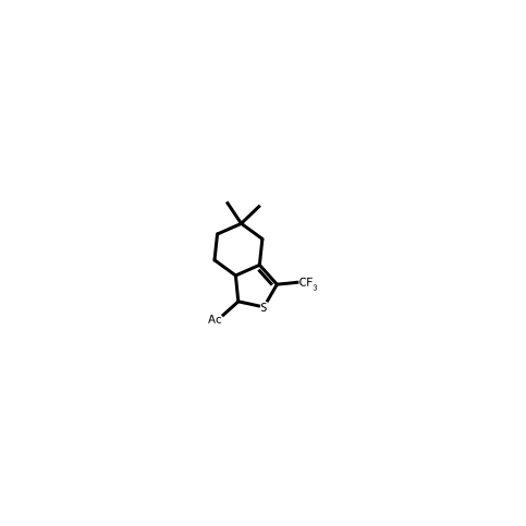 CC(=O)C1SC(C(F)(F)F)=C2CC(C)(C)CCC21